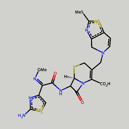 CO/N=C(\C(=O)NC1C(=O)N2C(C(=O)O)=C(CN3C=Cc4sc(SC)nc4C3)CS[C@H]12)c1csc(N)n1